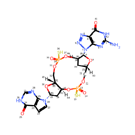 Nc1nc2c(nnn2[C@@H]2O[C@@H]3COP(=O)(S)O[C@H]4C[C@H](n5ccc6c(=O)[nH]cnc65)O[C@@H]4COP(=O)(S)O[C@@H]2C3)c(=O)[nH]1